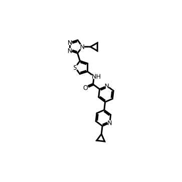 O=C(Nc1csc(-c2nncn2C2CC2)c1)c1cc(-c2ccc(C3CC3)nc2)ccn1